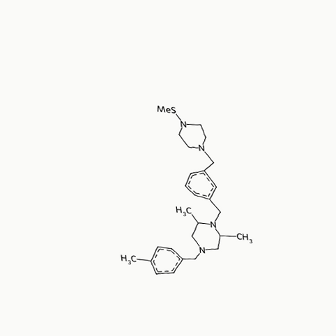 CSN1CCN(Cc2cccc(CN3C(C)CN(Cc4ccc(C)cc4)CC3C)c2)CC1